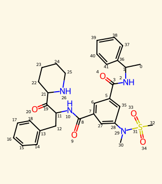 CC(NC(=O)c1cc(C(=O)NC(Cc2ccccc2)C(=O)C2CCCCN2)cc(N(C)S(C)(=O)=O)c1)c1ccccc1